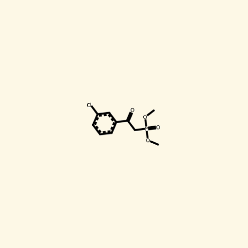 COP(=O)(CC(=O)c1cccc(Cl)c1)OC